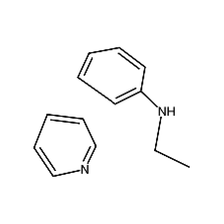 CCNc1ccccc1.c1ccncc1